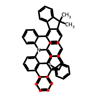 CC1(C)c2ccccc2-c2c(-c3ccccc3N(c3cccc(-c4ccccc4)c3-c3ccccc3-c3ccccc3)c3cccc4c3oc3ccccc34)cccc21